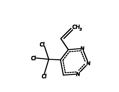 C=Cc1nnncc1C(Cl)(Cl)Cl